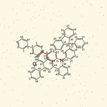 c1ccc(-c2ccc(-c3ccc(N(c4cccc(C5(c6ccccc6)c6ccccc6-c6ccccc65)c4)c4ccccc4-c4cc5c6c(cccc6c4)Oc4ccccc4-5)cc3)cc2)cc1